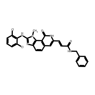 Cn1c(Nc2c(Cl)cccc2Cl)nc2ccc3cc(C=CC(=O)NCc4ccccc4)[nH]c(=O)c3c21